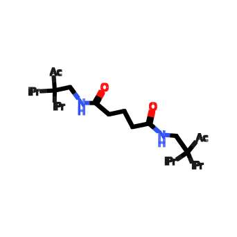 CC(=O)C(CNC(=O)CCCC(=O)NCC(C(C)=O)(C(C)C)C(C)C)(C(C)C)C(C)C